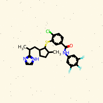 CC(CC1CCC(C)C1Sc1cc(C(=O)Nc2cc(F)c(F)c(F)c2)ccc1Cl)c1ncc[nH]1